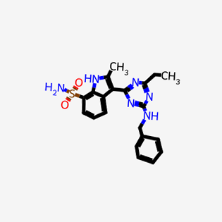 CCc1nc(NCc2ccccc2)nc(-c2c(C)[nH]c3c(S(N)(=O)=O)cccc23)n1